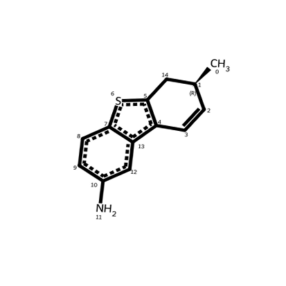 C[C@H]1C=Cc2c(sc3ccc(N)cc23)C1